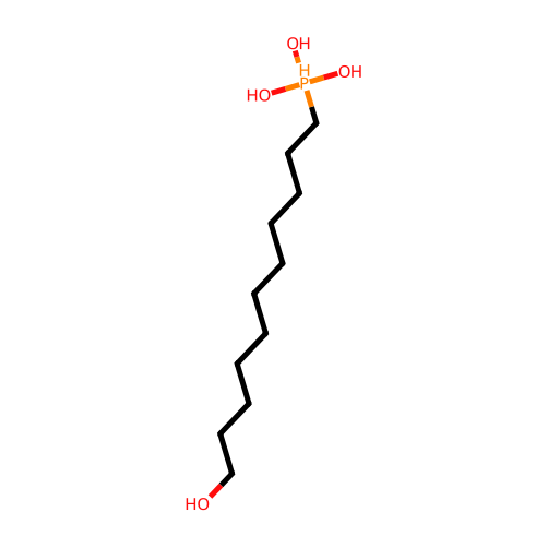 OCCCCCCCCCCC[PH](O)(O)O